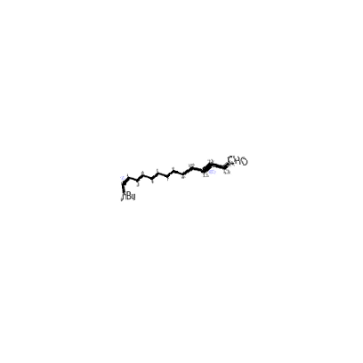 CCCC/C=C\CCCCCCCC/C=C/CC=O